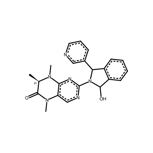 C[C@@H]1C(=O)N(C)c2cnc(N3C(O)c4ccccc4C3c3cccnc3)nc2N1C